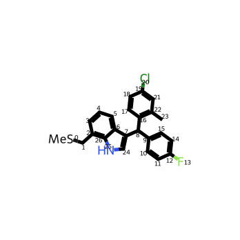 CSCc1cccc2c(C(c3ccc(F)cc3)c3ccc(Cl)cc3C)c[nH]c12